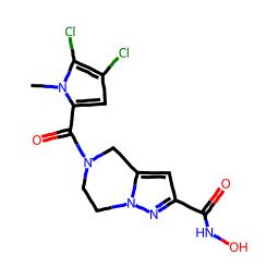 Cn1c(C(=O)N2CCn3nc(C(=O)NO)cc3C2)cc(Cl)c1Cl